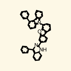 C1=CC2=C(c3ccccc3)N=C(c3ccc4c(c3)oc3c(-n5c6ccccc6c6c(-c7ccccc7)cccc65)cccc34)NC2C=C1